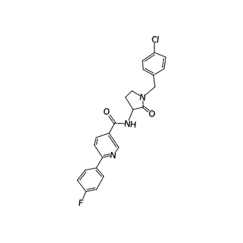 O=C(NC1CCN(Cc2ccc(Cl)cc2)C1=O)c1ccc(-c2ccc(F)cc2)nc1